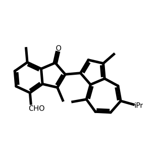 CC1=C(c2cc(C)c3cc(C(C)C)ccc(C)c2-3)C(=O)c2c(C)ccc(C=O)c21